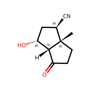 C[C@@]12CCC(=O)[C@@H]1[C@H](O)C[C@H]2C#N